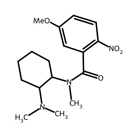 COc1ccc([N+](=O)[O-])c(C(=O)N(C)C2CCCCC2N(C)C)c1